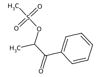 CC(OS(C)(=O)=O)C(=O)c1ccccc1